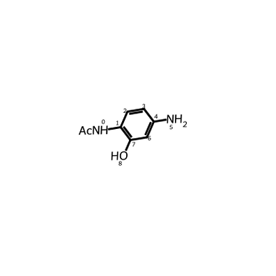 CC(=O)Nc1ccc(N)cc1O